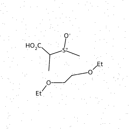 CC(C(=O)O)[S+](C)[O-].CCOCCOCC